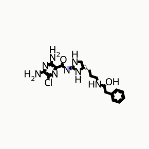 Nc1nc(N)c(C(=O)/N=C2\NC[C@H](CCCNC(O)Cc3ccccc3)N2)nc1Cl